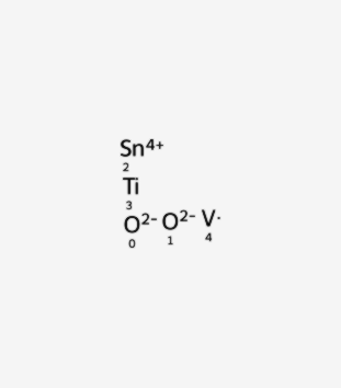 [O-2].[O-2].[Sn+4].[Ti].[V]